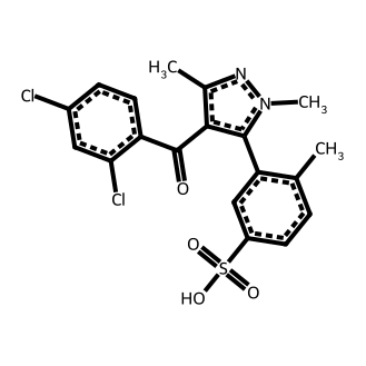 Cc1ccc(S(=O)(=O)O)cc1-c1c(C(=O)c2ccc(Cl)cc2Cl)c(C)nn1C